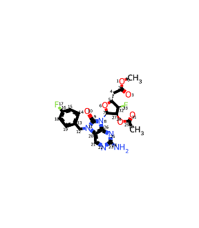 COC(=O)C[C@H]1O[C@@H](n2c(=O)n(Cc3ccc(F)cc3)c3cnc(N)nc32)[C@H](OC(C)=O)[C@@H]1F